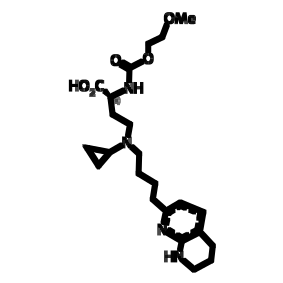 COCCOC(=O)N[C@@H](CCN(CCCCc1ccc2c(n1)NCCC2)C1CC1)C(=O)O